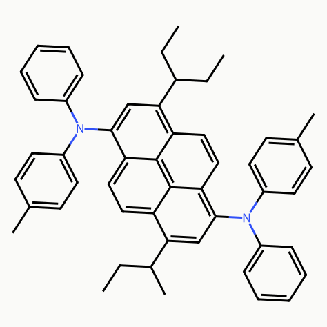 CCC(C)c1cc(N(c2ccccc2)c2ccc(C)cc2)c2ccc3c(C(CC)CC)cc(N(c4ccccc4)c4ccc(C)cc4)c4ccc1c2c34